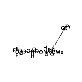 COC(=O)[C@H](CCC(=O)NCCOCCOCC(=O)NCCOCCOCC(=O)Oc1c(F)c(F)cc(F)c1F)NC(=O)CCCCCCCCCCCCCCCCC(=O)OC(C)C